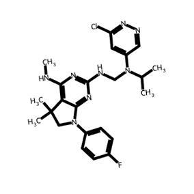 CNc1nc(NCN(c2cnnc(Cl)c2)C(C)C)nc2c1C(C)(C)CN2c1ccc(F)cc1